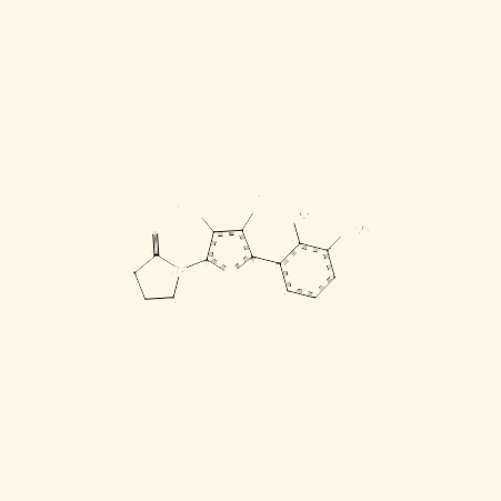 COc1cccc(-c2oc(N3CCCC3=O)c(OC(C)=O)c2O)c1OC